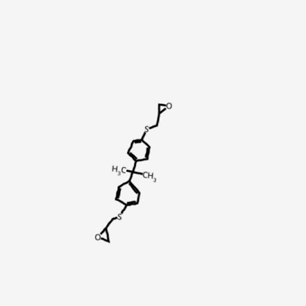 CC(C)(c1ccc(SCC2CO2)cc1)c1ccc(SCC2CO2)cc1